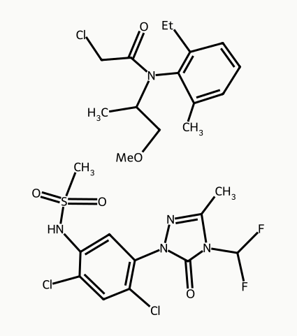 CCc1cccc(C)c1N(C(=O)CCl)C(C)COC.Cc1nn(-c2cc(NS(C)(=O)=O)c(Cl)cc2Cl)c(=O)n1C(F)F